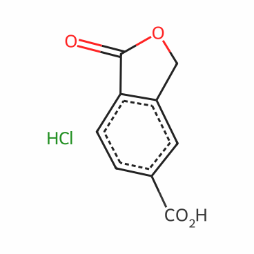 Cl.O=C(O)c1ccc2c(c1)COC2=O